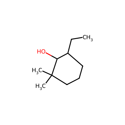 CCC1CCCC(C)(C)C1O